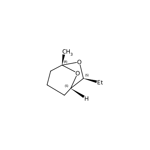 CC[C@@H]1O[C@@]2(C)CCC[C@@H]1O2